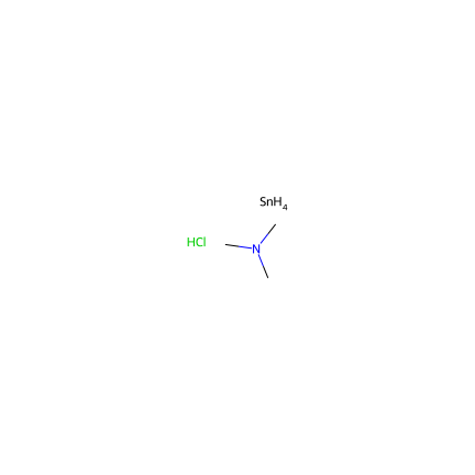 CN(C)C.Cl.[SnH4]